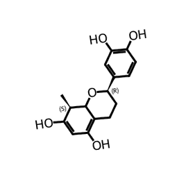 C[C@@H]1C(O)=CC(O)=C2CC[C@H](c3ccc(O)c(O)c3)OC21